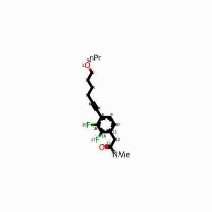 CCCOCCCCC#Cc1ccc(CC(=O)NC)c(F)c1F